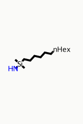 CCCCCCCCCCCC[Si](C)(C)[NH]